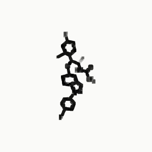 Cc1cc(F)ccc1[C@H](Oc1ccc2c(cnn2-c2ccc(F)cc2)c1)[C@H](C)NC(=O)C(F)(F)F